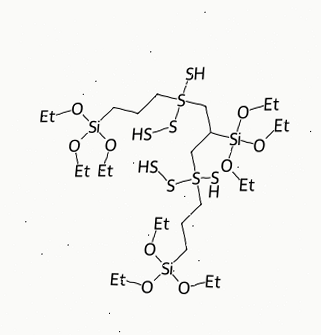 CCO[Si](CCCS(S)(CC(CS(S)(CCC[Si](OCC)(OCC)OCC)SS)[Si](OCC)(OCC)OCC)SS)(OCC)OCC